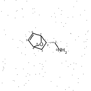 NC[C@@H]1CC2C=CC1O2